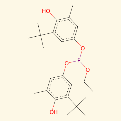 CCOP(Oc1cc(C)c(O)c(C(C)(C)C)c1)Oc1cc(C)c(O)c(C(C)(C)C)c1